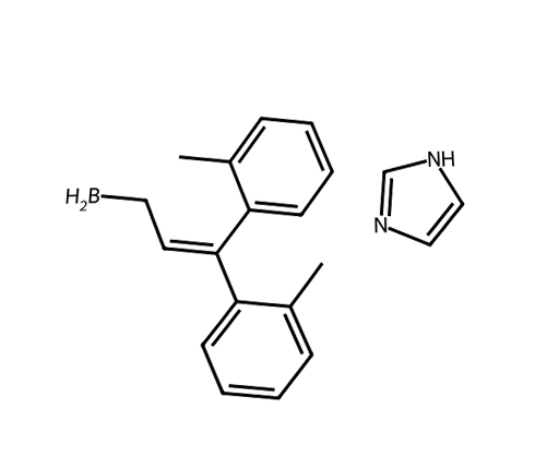 BCC=C(c1ccccc1C)c1ccccc1C.c1c[nH]cn1